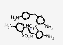 Nc1ccc(/C=C/c2ccc(N)cc2S(=O)(=O)O)c(S(=O)(=O)O)c1.Nc1ccc(Cc2ccc(N)cc2)cc1